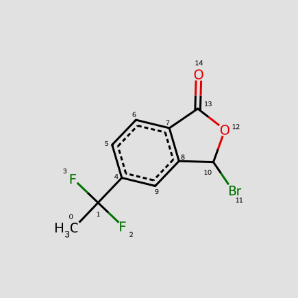 CC(F)(F)c1ccc2c(c1)C(Br)OC2=O